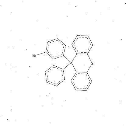 Brc1cccc(C2(c3ccccc3)c3ccccc3Sc3ccccc32)c1